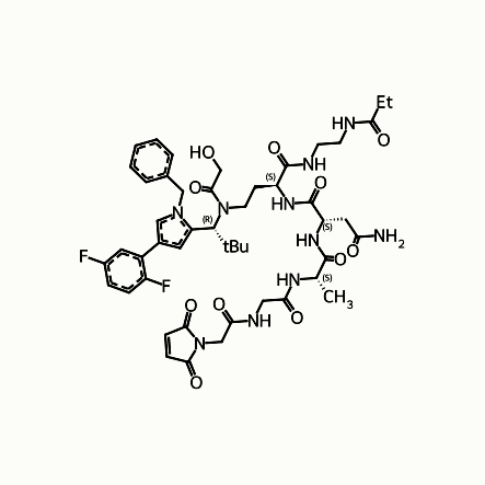 CCC(=O)NCCNC(=O)[C@H](CCN(C(=O)CO)[C@@H](c1cc(-c2cc(F)ccc2F)cn1Cc1ccccc1)C(C)(C)C)NC(=O)[C@H](CC(N)=O)NC(=O)[C@H](C)NC(=O)CNC(=O)CN1C(=O)C=CC1=O